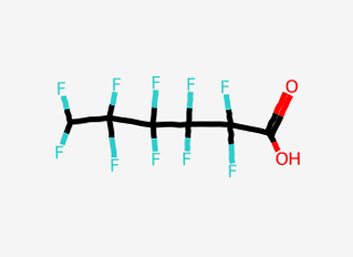 O=C(O)C(F)(F)C(F)(F)C(F)(F)C(F)(F)C(F)F